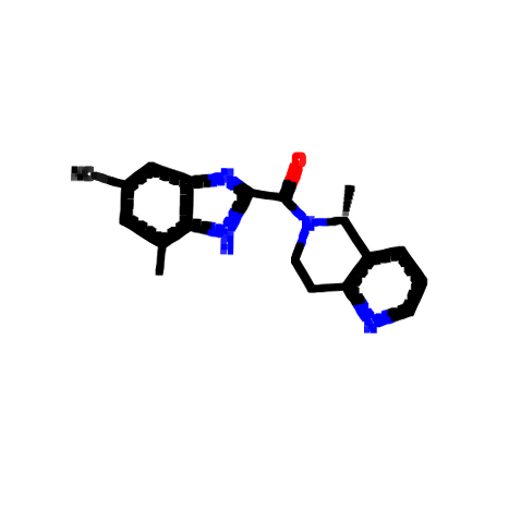 Cc1cc(C#N)cc2nc(C(=O)N3CCc4ncccc4[C@H]3C)[nH]c12